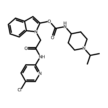 CC(C)N1CCC(NC(=O)Oc2cc3ccccc3n2CC(=O)Nc2ccc(Cl)cn2)CC1